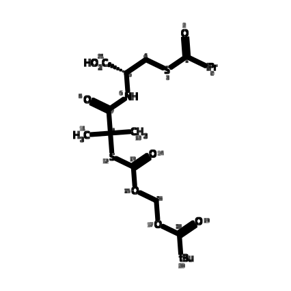 CC(C)C(=O)SC[C@H](NC(=O)C(C)(C)SC(=O)OCOC(=O)C(C)(C)C)C(=O)O